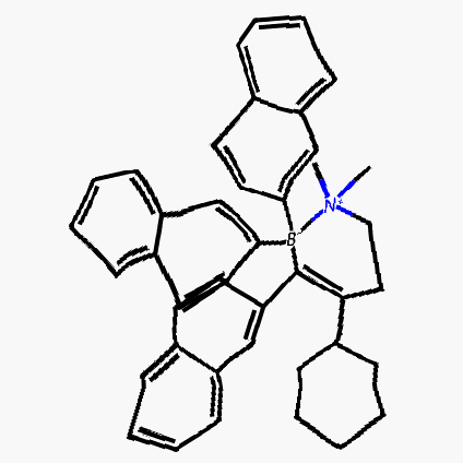 C[N+]1(C)CCC(C2CCCCC2)=C(c2ccc3ccccc3c2)[B-]1(c1ccc2ccccc2c1)c1ccc2ccccc2c1